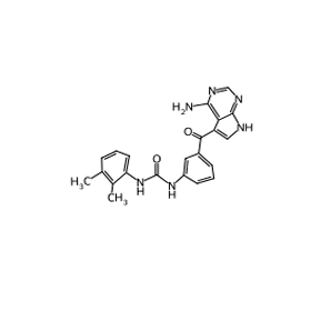 Cc1cccc(NC(=O)Nc2cccc(C(=O)c3c[nH]c4ncnc(N)c34)c2)c1C